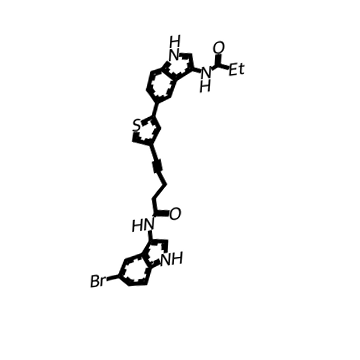 CCC(=O)Nc1c[nH]c2ccc(-c3cc(C#CCCC(=O)Nc4c[nH]c5ccc(Br)cc45)cs3)cc12